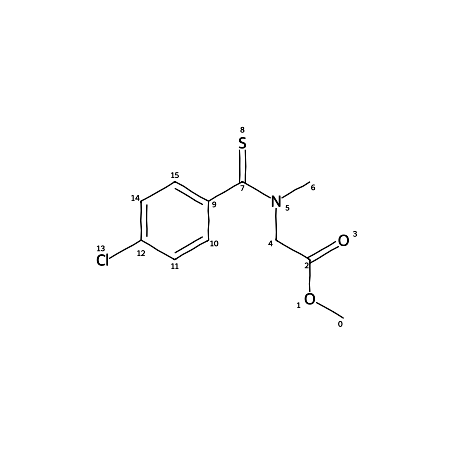 COC(=O)CN(C)C(=S)c1ccc(Cl)cc1